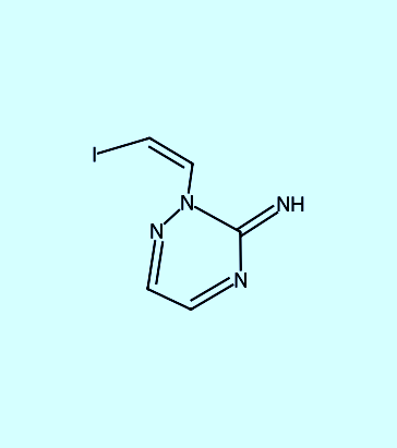 N=c1nccnn1/C=C\I